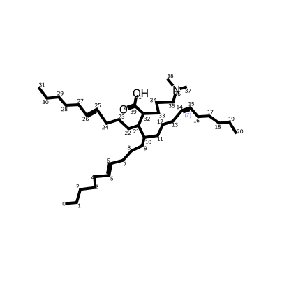 CCCCCC=CCCCC(CCC/C=C\CCCCC)C(CCCC=CCCCCC)C(CCCN(C)C)C(=O)O